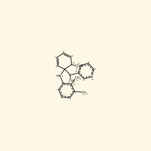 Cc1cccc(NC2(C(C)c3cccnc3)C=CC=CC2C(=O)O)c1C